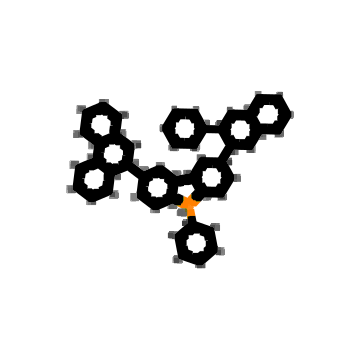 c1ccc(-c2cc3ccccc3cc2-c2ccc3c(c2)c2cc(-c4cc5ccccc5c5ccccc45)ccc2p3-c2ccccc2)cc1